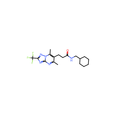 Cc1nc2nc(C(F)(F)F)nn2c(C)c1CCC(=O)NCC1CCCCC1